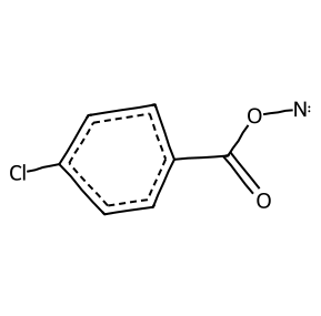 [N]OC(=O)c1ccc(Cl)cc1